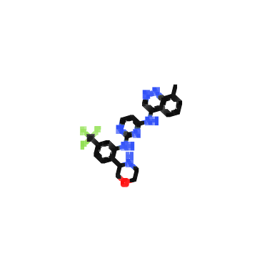 Cc1cccc2c(Nc3ccnc(Nc4cc(C(F)(F)F)ccc4C4COCCN4)n3)cnnc12